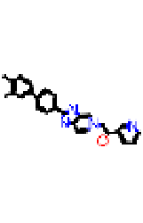 Cc1ccc(-c2ccc(-c3nc4ccn(CC(=O)c5cccnc5)cc-4n3)cc2)cc1C